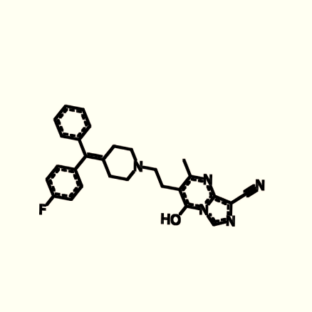 Cc1nc2c(C#N)ncn2c(O)c1CCN1CCC(=C(c2ccccc2)c2ccc(F)cc2)CC1